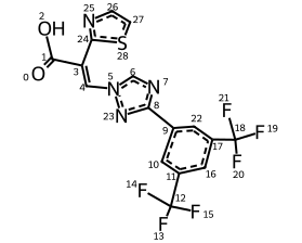 O=C(O)C(=Cn1cnc(-c2cc(C(F)(F)F)cc(C(F)(F)F)c2)n1)c1nccs1